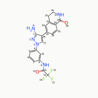 Nc1nn(-c2cccc(NC(=O)C(F)(F)F)c2)cc1-c1ccc2c(c1)CCNC2=O